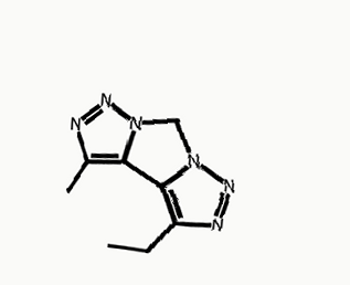 CCc1nnn2c1-c1c(C)nnn1C2